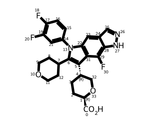 O=C(O)[C@H]1CC[C@H](c2c(C3CCOCC3)n(-c3ccc(F)c(F)c3)c3cc4cn[nH]c4c(F)c23)CO1